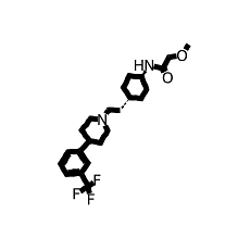 COCC(=O)N[C@H]1CC[C@H](CCN2CCC(c3cccc(C(F)(F)F)c3)CC2)CC1